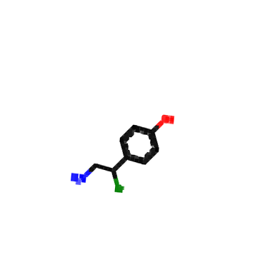 NCC(Br)c1ccc(O)cc1